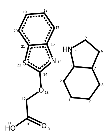 C1CCC2NCCC2C1.O=C(O)COc1nc2ccccc2s1